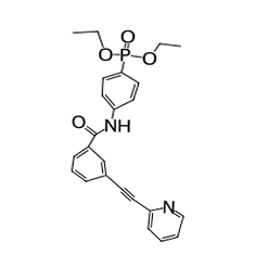 CCOP(=O)(OCC)c1ccc(NC(=O)c2cccc(C#Cc3ccccn3)c2)cc1